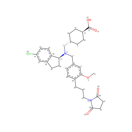 COc1cc(CN(C[C@H]2CC[C@H](C(=O)O)CC2)[C@H]2CCc3cc(Cl)ccc32)ccc1CCCN1C(=O)CCC1=O